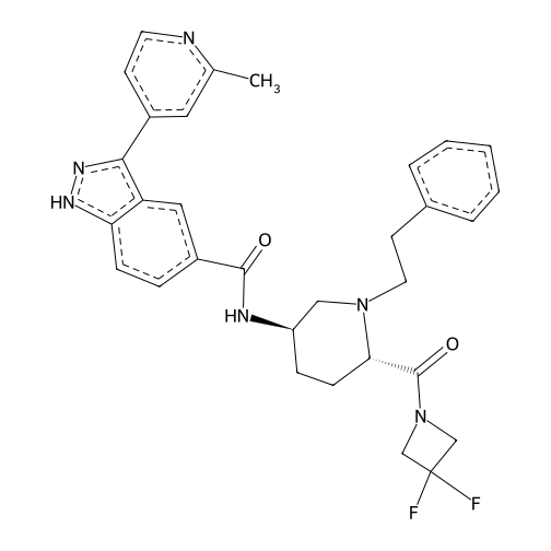 Cc1cc(-c2n[nH]c3ccc(C(=O)N[C@@H]4CC[C@@H](C(=O)N5CC(F)(F)C5)N(CCc5ccccc5)C4)cc23)ccn1